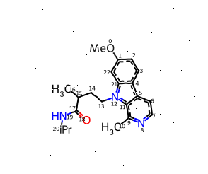 COc1ccc2c3ccnc(C)c3n(CCC(C)C(=O)NC(C)C)c2c1